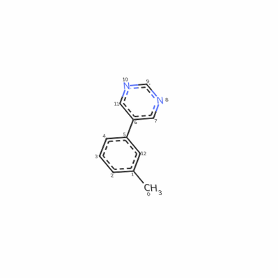 Cc1cccc(-c2cn[c]nc2)c1